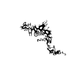 COc1nc(-c2cccc(-c3cccc(-c4cnc(CNC[C@@H]5CCC(=O)N5)c(OC)n4)c3Cl)c2Cl)cnc1CNCC1CN(S(C)(=O)=O)C1